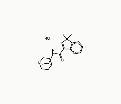 CC1(C)C=C(C(=O)NC2CN3CCC2CC3)c2ccccc21.Cl